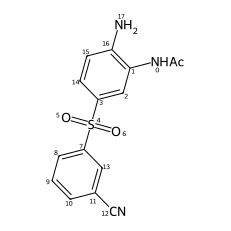 CC(=O)Nc1cc(S(=O)(=O)c2cccc(C#N)c2)ccc1N